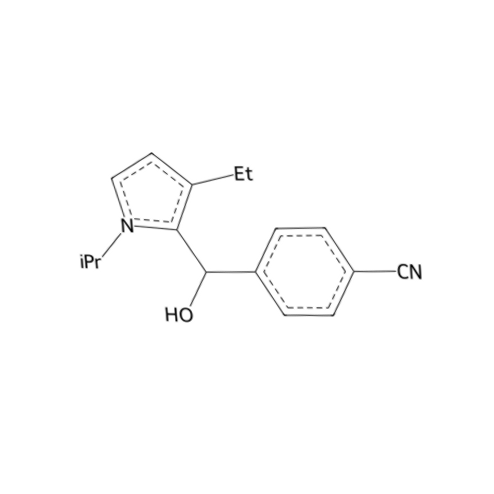 [CH2]Cc1ccn(C(C)C)c1C(O)c1ccc(C#N)cc1